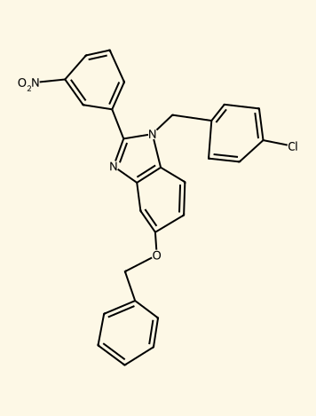 O=[N+]([O-])c1cccc(-c2nc3cc(OCc4ccccc4)ccc3n2Cc2ccc(Cl)cc2)c1